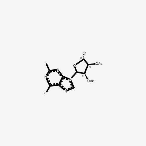 CC[C@H]1OC(n2cnc3c(Cl)nc(I)nc32)[C@H](OC(C)=O)[C@@H]1OC(C)=O